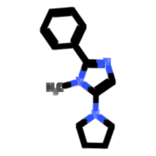 Cn1c(N2CCCC2)cnc1-c1ccccc1